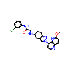 COc1ccc2nccc(-n3cc4c(n3)CCC(NCC(=O)Nc3cccc(Cl)c3)C4)c2n1